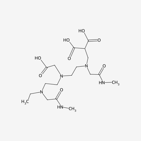 CCN(CCN(CCN(CC(=O)NC)CC(C(=O)O)C(=O)O)CC(=O)O)CC(=O)NC